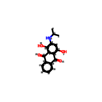 CC(C)Nc1cc(O)c2c(c1O)C(=O)c1ccccc1C2=O